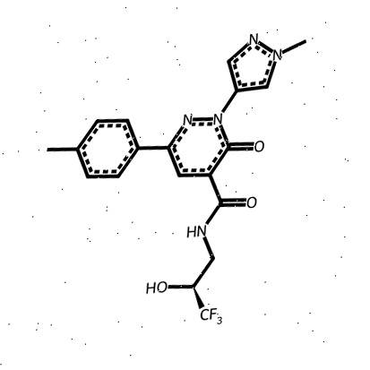 Cc1ccc(-c2cc(C(=O)NC[C@H](O)C(F)(F)F)c(=O)n(-c3cnn(C)c3)n2)cc1